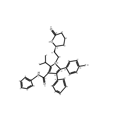 CC(C)c1c(C(=O)Nc2ccccc2)c(-c2ccccc2)c(-c2ccc(F)cc2)n1CC[C@@H]1CCCC(=O)O1